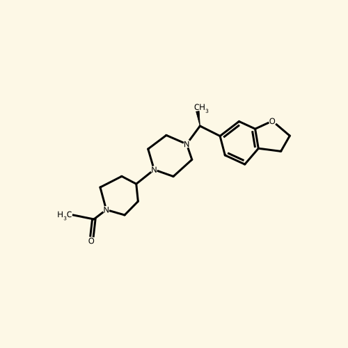 CC(=O)N1CCC(N2CCN([C@@H](C)c3ccc4c(c3)OCC4)CC2)CC1